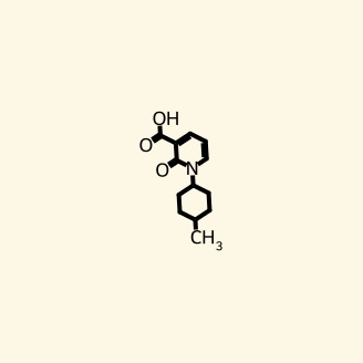 CC1CCC(n2cccc(C(=O)O)c2=O)CC1